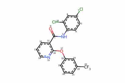 O=C(Nc1ccc(Cl)cc1Cl)c1cccnc1Oc1cccc(C(F)(F)F)c1